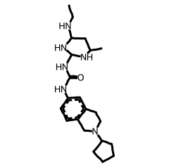 CCNC1CC(C)NC(NC(=O)Nc2ccc3c(c2)CCN(C2CCCC2)C3)N1